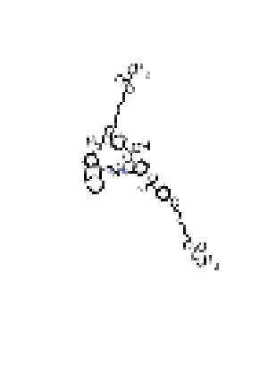 C=CC(=O)OCCCCCCOc1ccc(C(=O)Oc2ccc(OC(O)C3=CCC(C)(OCCCCCCOC(=O)C=C)C=C3)c(/C=N/N=C/C3=C4C=CC=CC(=Cc5ccccc53)C4)c2)cc1